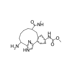 CNC(=O)C1CCCCC(N)c2nc(c[nH]2)-c2ccc(NC(=O)OC)cc2C1